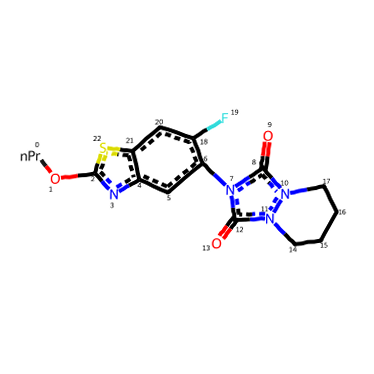 CCCOc1nc2cc(-n3c(=O)n4n(c3=O)CCCC4)c(F)cc2s1